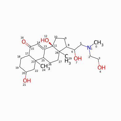 CN(CCO)CC(O)C1CC[C@@]2(O)C3=CC(=O)C4CCC(O)CC4(C)C3CCC12C